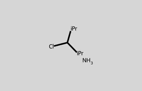 CC(C)C(Cl)C(C)C.N